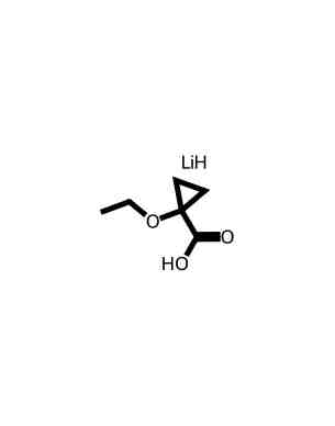 CCOC1(C(=O)O)CC1.[LiH]